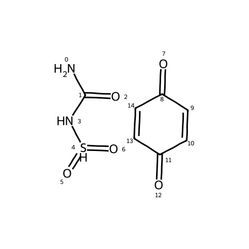 NC(=O)N[SH](=O)=O.O=C1C=CC(=O)C=C1